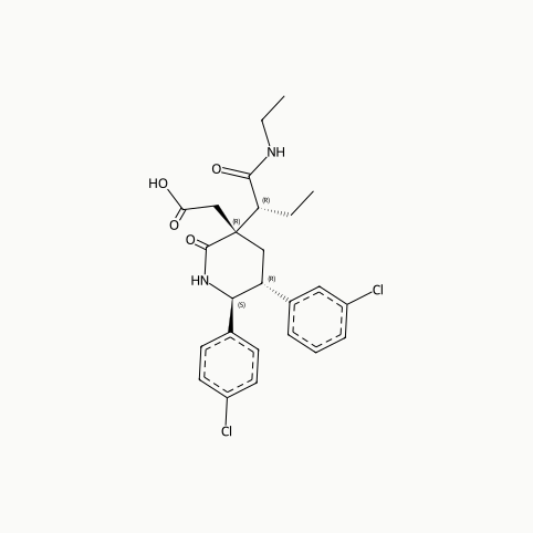 CCNC(=O)[C@H](CC)[C@]1(CC(=O)O)C[C@H](c2cccc(Cl)c2)[C@@H](c2ccc(Cl)cc2)NC1=O